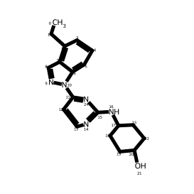 CCc1cccc2c1cnn2-c1ccnc(NC2CCC(O)CC2)n1